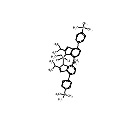 C[CH2][Zr]([Cl])([Cl])([CH]1C(C(C)C)=Cc2c(-c3ccc([Si](C)(C)C)cc3)ccc(C)c21)[CH]1C(C(C)C)=Cc2c(-c3ccc([Si](C)(C)C)cc3)ccc(C)c21